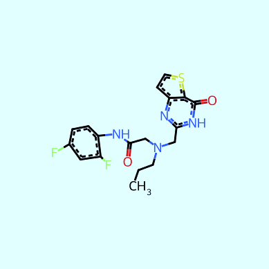 CCCN(CC(=O)Nc1ccc(F)cc1F)Cc1nc2ccsc2c(=O)[nH]1